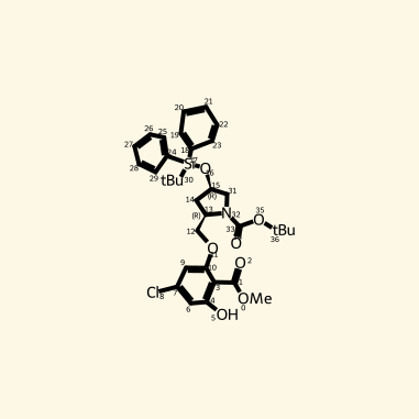 COC(=O)c1c(O)cc(Cl)cc1OC[C@H]1C[C@@H](O[Si](c2ccccc2)(c2ccccc2)C(C)(C)C)CN1C(=O)OC(C)(C)C